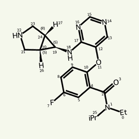 CCN(C(=O)c1cc(F)ccc1Oc1cncnc1N[C@H]1[C@@H]2CNC[C@@H]21)C(C)C